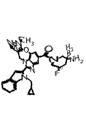 B[C@@]1(N)C[C@@H](F)CN(C(=O)c2cc(OC)c3c(c2)nc(-c2cc4ccccc4n2CC2CC2)n3Cc2cnn(C)c2)C1